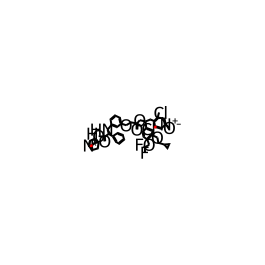 O=C(COc1cccc(NC(C(=O)O[C@H]2CN3CCC2CC3)c2ccccc2)c1)OC(Cc1c(Cl)c[n+]([O-])cc1Cl)c1ccc(OC(F)F)c(OCC2CC2)c1